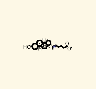 COC(=O)CCC/C=C(\C)[C@H]1CC[C@H]2[C@@H]3CC=C4C[C@@H](O)CC[C@]4(C)[C@H]3CC[C@]12C